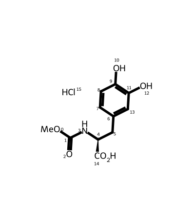 COC(=O)N[C@@H](Cc1ccc(O)c(O)c1)C(=O)O.Cl